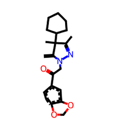 C=C1N(CC(=O)c2ccc3c(c2)OCO3)N=C(C)C1(C)C1CCCCC1